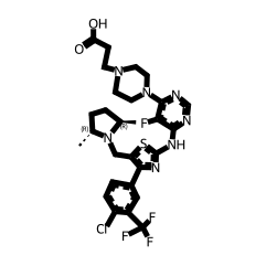 C[C@@H]1CC[C@@H](C)N1Cc1sc(Nc2ncnc(N3CCN(CCC(=O)O)CC3)c2F)nc1-c1ccc(Cl)c(C(F)(F)F)c1